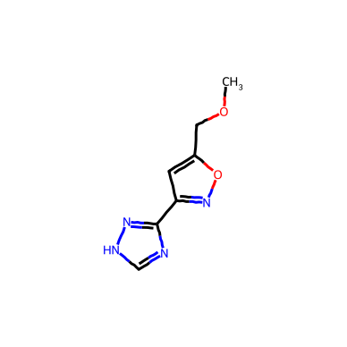 COCc1cc(-c2nc[nH]n2)no1